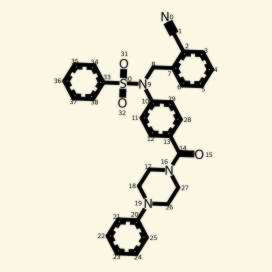 N#Cc1ccccc1CN(c1ccc(C(=O)N2CCN(c3ccccc3)CC2)cc1)S(=O)(=O)c1ccccc1